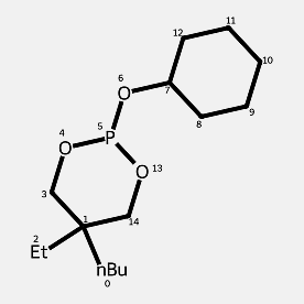 CCCCC1(CC)COP(OC2CCCCC2)OC1